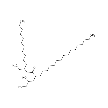 CCCCCCCCCCCCCCCCN(CC(O)CO)C(=O)CC(CC)CCCCCCCCCCC